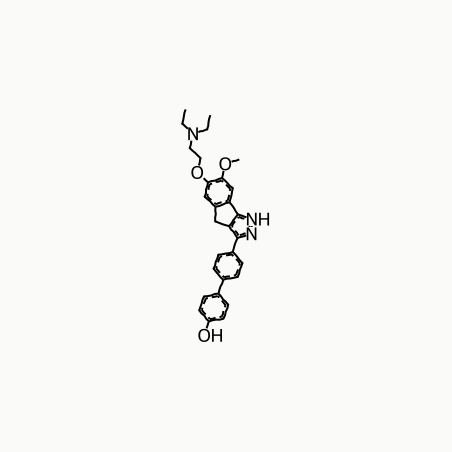 CCN(CC)CCOc1cc2c(cc1OC)-c1[nH]nc(-c3ccc(-c4ccc(O)cc4)cc3)c1C2